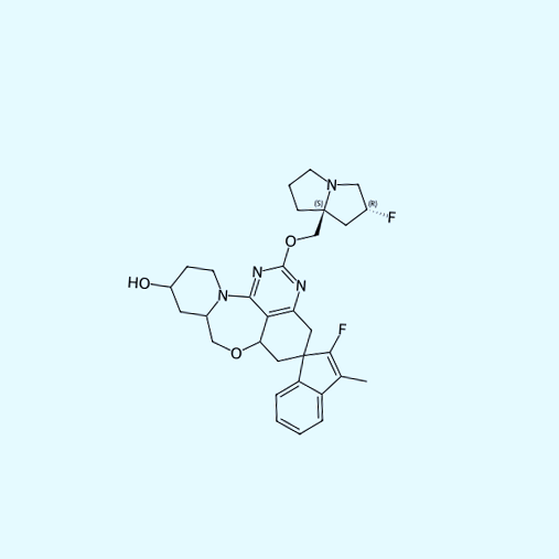 CC1=C(F)C2(Cc3nc(OC[C@@]45CCCN4C[C@H](F)C5)nc4c3C(C2)OCC2CC(O)CCN42)c2ccccc21